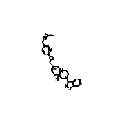 CC1CN1Cc1ccc(OC[C@H]2CC[C@H]3CN(c4noc5ccccc45)CCN3C2)nc1